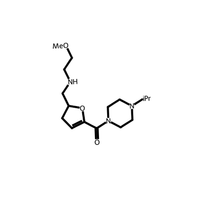 COCCNCC1CC=C(C(=O)N2CCN(C(C)C)CC2)O1